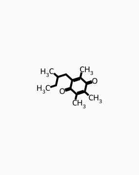 CCC(C)CC1=C(C)C(=O)C(C)=C(C)C1=O